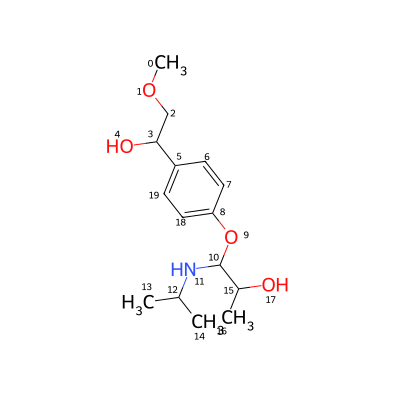 COCC(O)c1ccc(OC(NC(C)C)C(C)O)cc1